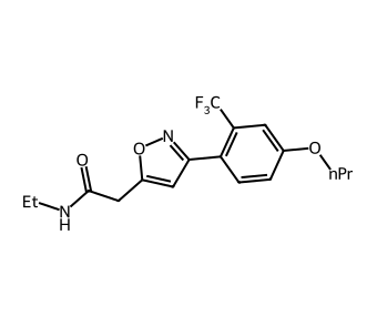 CCCOc1ccc(-c2cc(CC(=O)NCC)on2)c(C(F)(F)F)c1